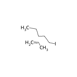 C=CC.CCCCCI